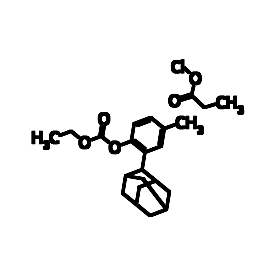 CCC(=O)OCl.CCOC(=O)Oc1ccc(C)cc1C1C2CC3CC(C2)CC1C3